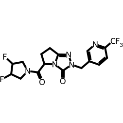 O=C(C1CCc2nn(Cc3ccc(C(F)(F)F)nc3)c(=O)n21)N1CC(F)C(F)C1